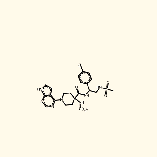 CS(=O)(=O)NCC(NC(=O)C1(NC(=O)O)CCN(c2ncnc3[nH]ccc23)CC1)c1ccc(Cl)cc1